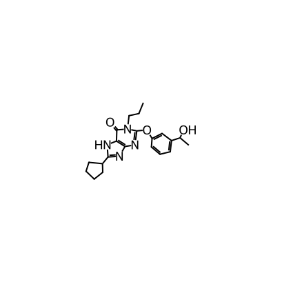 CCCn1c(Oc2cccc(C(C)O)c2)nc2nc(C3CCCC3)[nH]c2c1=O